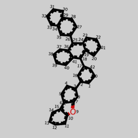 c1cc(-c2ccc3c(c2)oc2ccccc23)cc(-c2c3ccccc3c(-c3ccc4ccccc4c3)c3ccccc23)c1